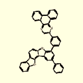 c1ccc(-c2cc(-c3cccc(-c4cnc5c6ccccc6c6ccccc6c5n4)c3)c3oc4ccc5c6ccccc6oc5c4c3c2)cc1